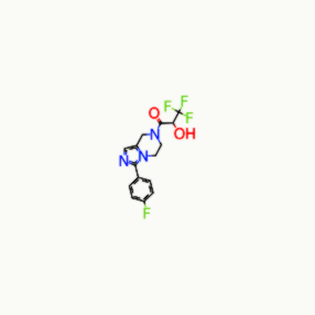 O=C(C(O)C(F)(F)F)N1CCn2c(cnc2-c2ccc(F)cc2)C1